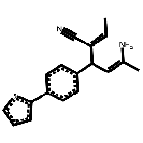 C/C=C(\C#N)C(/C=C(/C)N)c1ccc(-c2cccs2)cc1